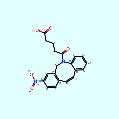 O=C(O)CCCC(=O)N1Cc2cc([N+](=O)[O-])ccc2/C=C\c2ccccc21